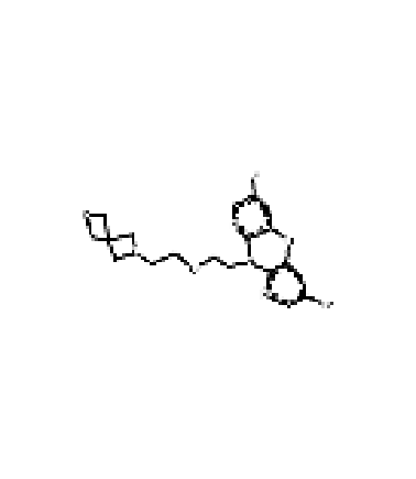 Brc1cnc2c(c1)Oc1cc(Br)cnc1N2CCOCCN1CC2(COC2)C1